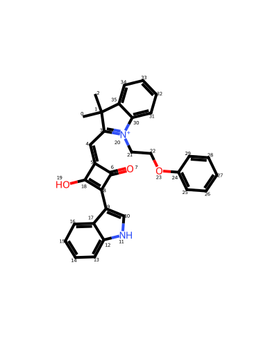 CC1(C)C(/C=C2\C(=O)C(c3c[nH]c4ccccc34)=C2O)=[N+](CCOc2ccccc2)c2ccccc21